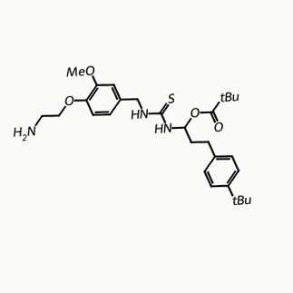 COc1cc(CNC(=S)NC(CCc2ccc(C(C)(C)C)cc2)OC(=O)C(C)(C)C)ccc1OCCN